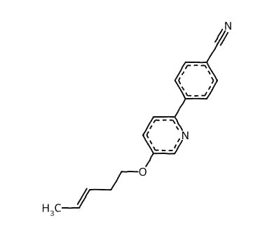 CC=CCCOc1ccc(-c2ccc(C#N)cc2)nc1